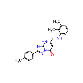 Cc1ccc(-c2nc3[nH]c(CNc4cccc(C)c4C)cc(=O)n3n2)cc1